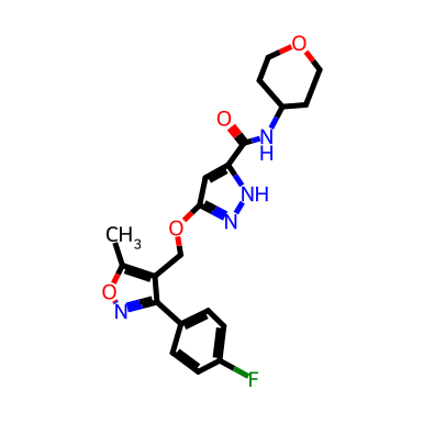 Cc1onc(-c2ccc(F)cc2)c1COc1cc(C(=O)NC2CCOCC2)[nH]n1